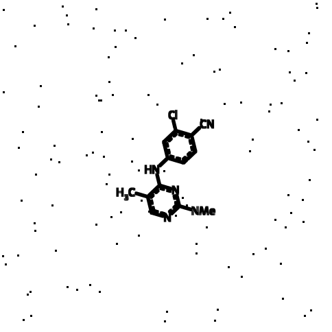 CNc1ncc(C)c(Nc2ccc(C#N)c(Cl)c2)n1